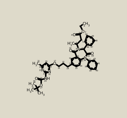 CCOC(=O)CC(C)N1C(=O)c2cc(CCCOc3cc(C)nc(NC(=O)OC(C)(C)C)n3)ccc2N(c2ccccc2)C(=O)C1c1ccccc1